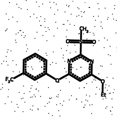 CCOc1cc(Oc2cccc(C(F)(F)F)c2)nc(S(C)(=O)=O)n1